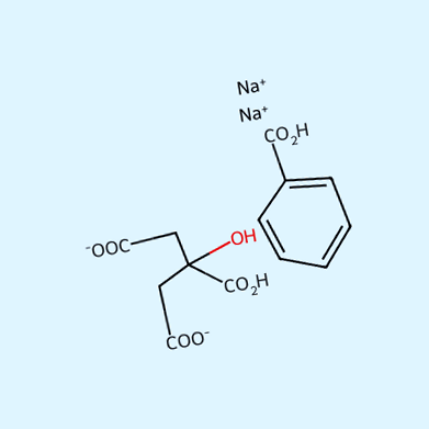 O=C(O)c1ccccc1.O=C([O-])CC(O)(CC(=O)[O-])C(=O)O.[Na+].[Na+]